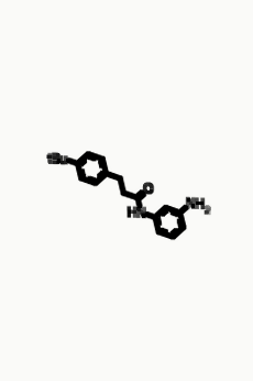 CC(C)(C)c1ccc(CCC(=O)Nc2cccc(N)c2)cc1